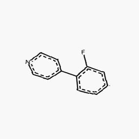 Fc1c[c]ccc1-c1ccncc1